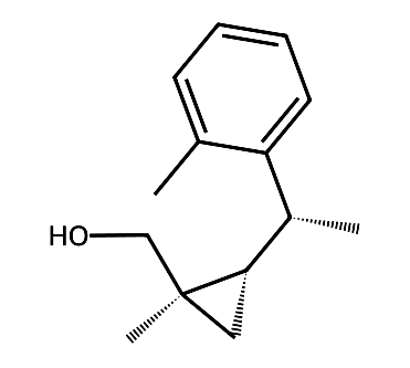 Cc1ccccc1[C@H](C)[C@@H]1C[C@@]1(C)CO